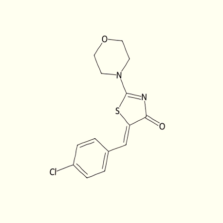 O=C1N=C(N2CCOCC2)S/C1=C\c1ccc(Cl)cc1